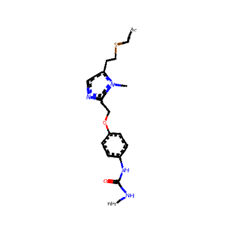 CCCNC(=O)Nc1ccc(OCc2ncc(CCSCC(C)=O)n2C)cc1